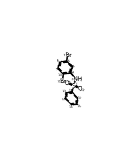 O=S(=O)(Nc1cc(Br)ccc1Br)c1ccccc1